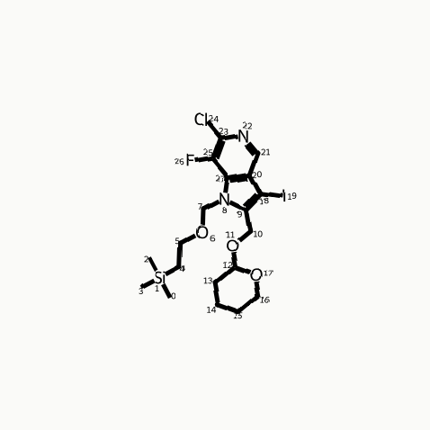 C[Si](C)(C)CCOCn1c(COC2CCCCO2)c(I)c2cnc(Cl)c(F)c21